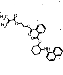 C=C(C)C(=O)OCCOC(=O)c1ccccc1C(=O)OC1CCCCC1Nc1cccc2ccccc12